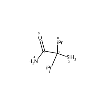 CC(C)C([SiH3])(C(N)=O)C(C)C